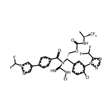 CCNC(=N)N(C(=O)c1ccc(-c2cnn(C(F)F)c2)cc1)[C@H](COC(=O)N[C@@H](C)C(F)(F)F)c1ccc(Cl)c(-n2ncnc2C(F)F)c1